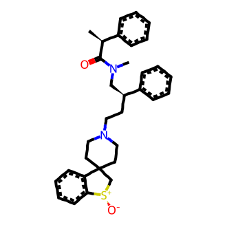 C[C@H](C(=O)N(C)C[C@H](CCN1CCC2(CC1)C[S@+]([O-])c1ccccc12)c1ccccc1)c1ccccc1